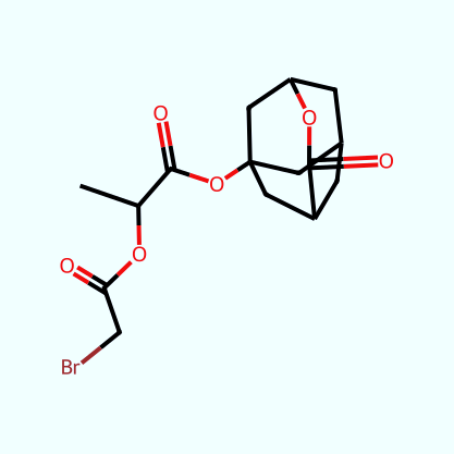 CC(OC(=O)CBr)C(=O)OC12CC3CC(C1)OC(=O)C(C3)C2